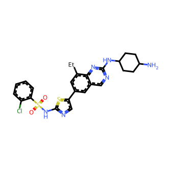 CCc1cc(-c2cnc(NS(=O)(=O)c3ccccc3Cl)s2)cc2cnc(NC3CCC(N)CC3)nc12